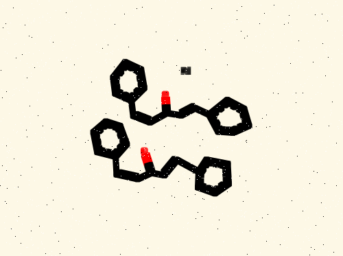 O=C(/C=C\c1ccccc1)/C=C/c1ccccc1.O=C(/C=C\c1ccccc1)/C=C/c1ccccc1.[Pd]